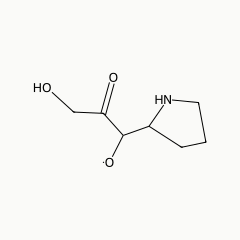 [O]C(C(=O)CO)C1CCCN1